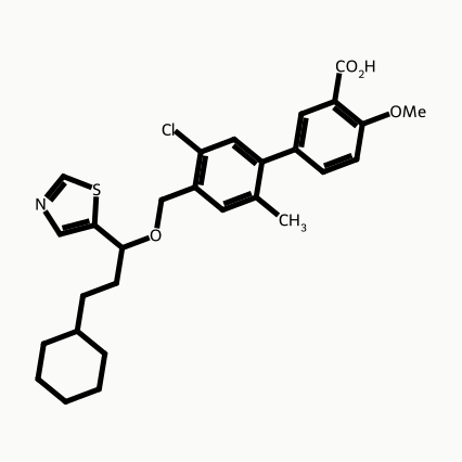 COc1ccc(-c2cc(Cl)c(COC(CCC3CCCCC3)c3cncs3)cc2C)cc1C(=O)O